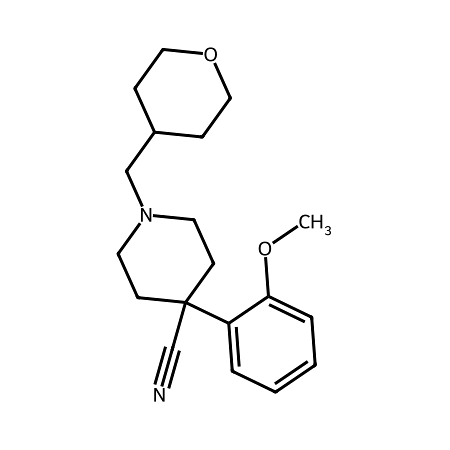 COc1ccccc1C1(C#N)CCN(CC2CCOCC2)CC1